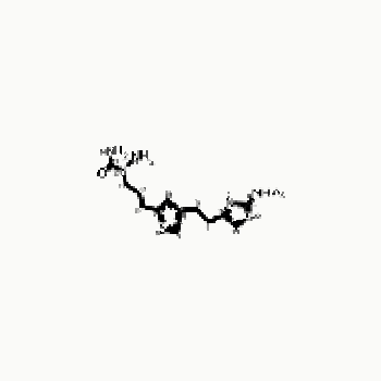 CC(=O)Nc1nc(CCc2csc(CCCN(N)C(N)=O)c2)cs1